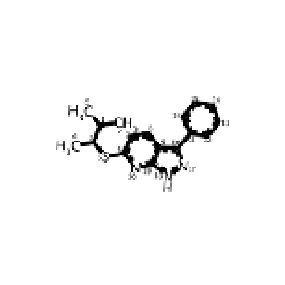 CC(C)C(C)Sc1ccc2c(-c3ccccc3)n[nH]c2n1